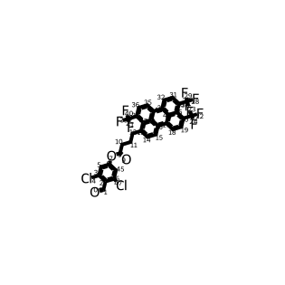 O=Cc1c(Cl)cc(OC(=O)CCCc2ccc3c4ccc(C(F)(F)F)c5c(C(F)(F)F)ccc(c6ccc(C(F)(F)F)c2c36)c54)cc1Cl